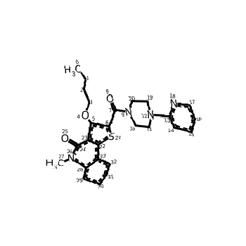 CCCCOc1c(C(=O)N2CCN(c3ccccn3)CC2)sc2c1c(=O)n(C)c1ccccc21